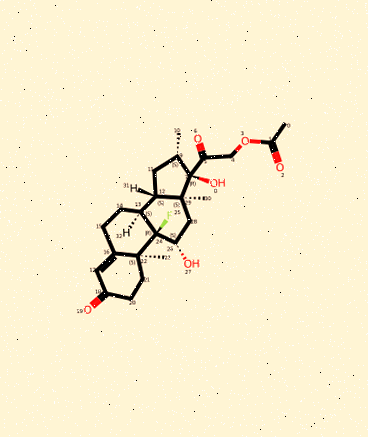 CC(=O)OCC(=O)[C@@]1(O)[C@@H](C)C[C@H]2[C@@H]3CCC4=CC(=O)CC[C@]4(C)[C@@]3(F)[C@@H](O)C[C@@]21C